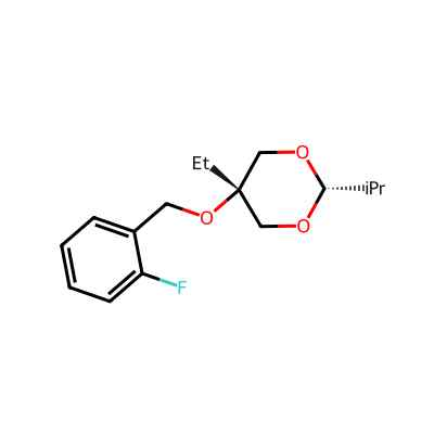 CC[C@]1(OCc2ccccc2F)CO[C@@H](C(C)C)OC1